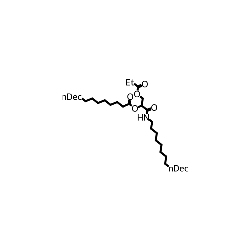 CCCCCCCCCCCCCCCCCCNC(=O)C(COC(=O)CC)OC(=O)CCCCCCCCCCCCCCCCC